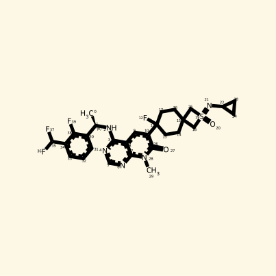 C[C@@H](Nc1ncnc2c1cc(C1(F)CCC3(CC1)CS(=O)(=NC1CC1)C3)c(=O)n2C)c1cccc(C(F)F)c1F